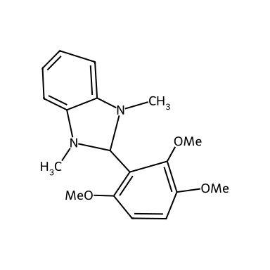 COc1ccc(OC)c(C2N(C)c3ccccc3N2C)c1OC